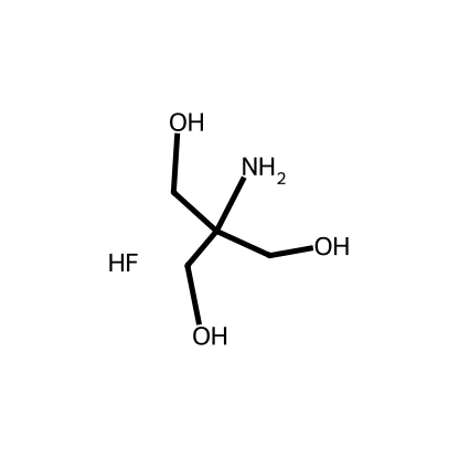 F.NC(CO)(CO)CO